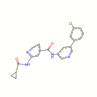 O=C(Nc1cncc(-c2cccc(Cl)c2)c1)c1ccnc(NC(=O)C2CC2)c1